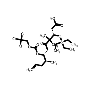 C=CC[C@H](C)[C@@H](CC(=O)C(C)(C)[C@H](CC(=O)O)O[Si](CC)(CC)CC)OC(=O)OCC(Cl)(Cl)Cl